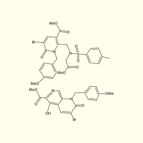 COC(=O)CN(Cc1c(C(=O)OC)cc(Br)c(=O)n1Cc1ccc(OC)cc1)S(=O)(=O)c1ccc(C)cc1.COC(=O)c1ncc2c(cc(Br)c(=O)n2Cc2ccc(OC)cc2)c1O